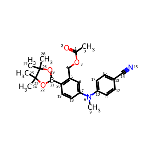 CC(=O)OCc1cc(N(C)c2ccc(C#N)cc2)ccc1B1OC(C)(C)C(C)(C)O1